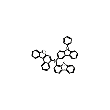 c1ccc(-n2c3ccccc3c3cc(N(c4cc5oc6ccccc6c5c5ccccc45)c4cccc5c4sc4ccccc45)ccc32)cc1